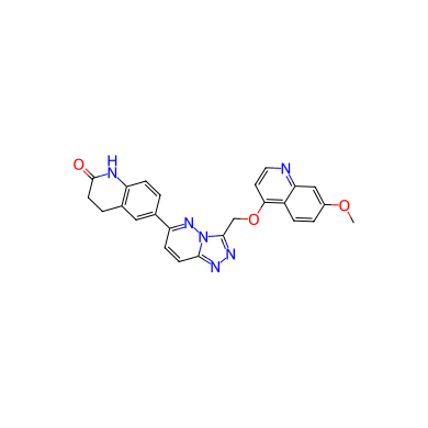 COc1ccc2c(OCc3nnc4ccc(-c5ccc6c(c5)CCC(=O)N6)nn34)ccnc2c1